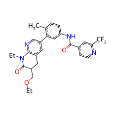 CCOCC1Cc2cc(-c3cc(NC(=O)c4ccnc(C(F)(F)F)c4)ccc3C)cnc2N(CC)C1=O